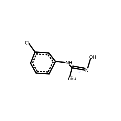 CCCC/C(=N/O)Nc1cccc(Cl)c1